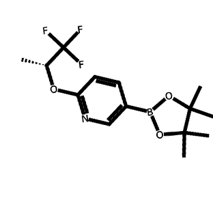 C[C@@H](Oc1ccc(B2OC(C)(C)C(C)(C)O2)cn1)C(F)(F)F